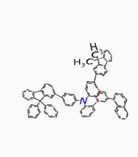 CC1(C)c2ccccc2-c2ccc(-c3ccc(N(c4ccc(-c5ccc6c(c5)C(c5ccccc5)(c5ccccc5)c5ccccc5-6)cc4)c4ccccc4-c4cccc(-c5cccc6ccccc56)c4)cc3)cc21